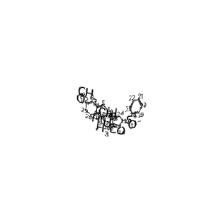 COC1=CC2=CC[C@@H]3[C@@H](CC[C@]4(C)C(=O)C([S+]([O-])c5ccccc5)C[C@@H]34)[C@@]2(C)CC1